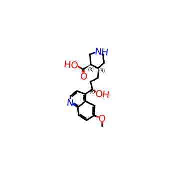 COc1ccc2nccc([C@H](O)CC[C@@H]3CCNC[C@@H]3C(=O)O)c2c1